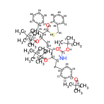 CC(C)(C)OC(=O)NC(Cc1ccc(OC(C)(C)C)cc1)C(CC=CC(O[Si](C)(C)C(C)(C)C)C(Cc1ccccc1)C(=O)SCc1ccccc1)O[Si](C)(C)C(C)(C)C